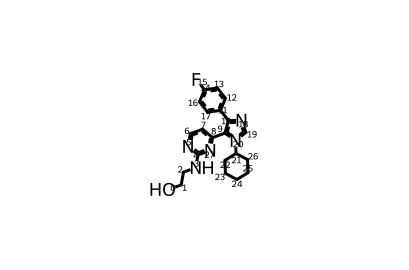 OCCNc1nccc(-c2c(-c3ccc(F)cc3)ncn2C2CCCCC2)n1